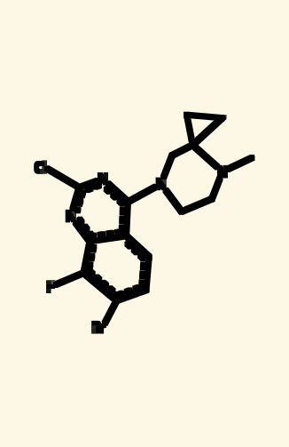 CN1CCN(c2nc(Cl)nc3c(F)c(Br)ccc23)CC12CC2